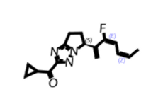 C=C(/C(F)=C\C=C/C)[C@@H]1CCc2nc(C(=O)C3CC3)nn21